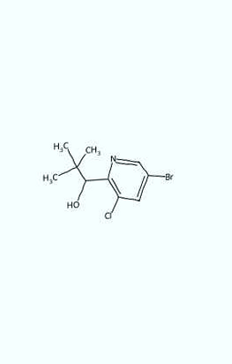 CC(C)(C)C(O)c1ncc(Br)cc1Cl